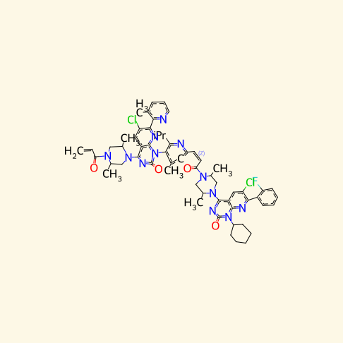 C=CC(=O)N1CC(C)N(c2nc(=O)n(-c3c(C)cc(/C=C\C(=O)N4CC(C)N(c5nc(=O)n(C6CCCCC6)c6nc(-c7ccccc7F)c(Cl)cc56)CC4C)nc3C(C)C)c3nc(-c4ncccc4C)c(Cl)cc23)CC1C